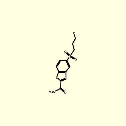 COC(=O)c1cc2cc(S(=O)(=O)CCCCl)ccc2s1